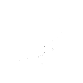 CC1(C)c2ccccc2-c2ccc(N(c3ccc4c(c3)C3(c5ccccc5-c5ccccc5-4)c4ccccc4-c4cc5c(cc43)oc3ccccc35)c3cccc4c3oc3ccccc34)cc21